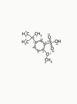 COc1ccc(C(C)(C)C)cc1S(=O)(=O)O